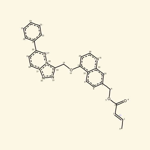 C/C=C/C(=O)OCc1ccc2c(OCc3nnc4ccc(-c5ccccc5)nn34)ccnc2c1